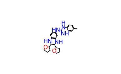 Cc1ccc(NC(=N)Nc2ccc3c(c2)NC(C2CCCO2)C(C2CCCO2)N3)cc1